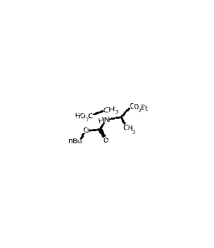 CC(=O)O.CCCCOC(=O)NC(C)C(=O)OCC